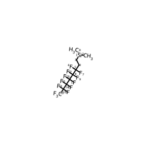 C[Si](C)CCC(F)(F)C(F)(F)C(F)(F)C(F)(F)C(F)(F)C(F)(F)F